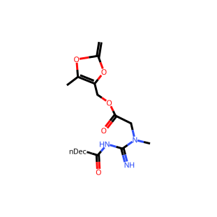 C=C1OC(C)=C(COC(=O)CN(C)C(=N)NC(=O)CCCCCCCCCC)O1